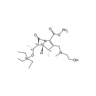 CC[Si](CC)(CC)O[C@H](C)[C@H]1C(=O)N2C(C(=O)OP)=C(CN(C)CCO)[C@H](C)[C@H]12